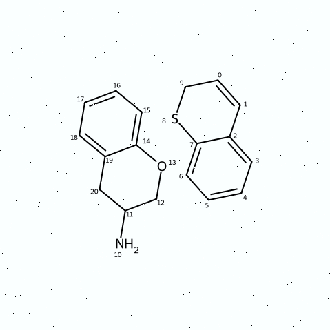 C1=Cc2ccccc2SC1.NC1COc2ccccc2C1